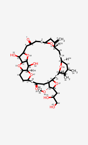 C=C1CC2CCC(=O)CC3OC4C(OC5CCC(CC(=O)CC6C(C[C@H]7O[C@@H](CC[C@@H]1O2)C[C@@H](C)C7=C)OC(CC(O)CO)[C@@H]6OC)O[C@@H]5C4O)C3O